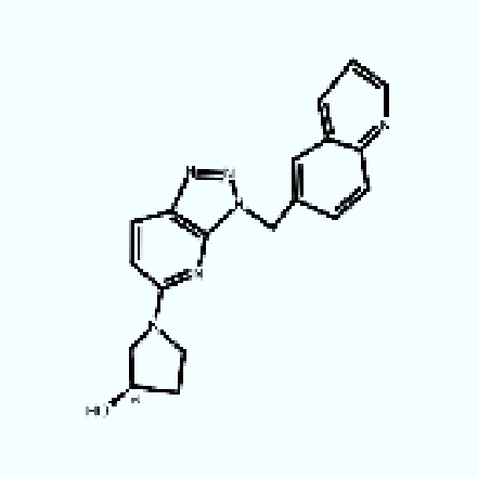 O[C@@H]1CCN(c2ccc3nnn(Cc4ccc5ncccc5c4)c3n2)C1